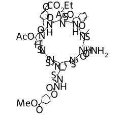 CCOC(=O)Oc1ccc(C[C@@H]2NC(=O)c3csc(n3)[C@H]([C@H](OC(C)=O)c3ccccc3)NC(=O)c3nc(sc3C)[C@H](CC(N)=O)NC(=O)c3csc(n3)-c3ccc(-c4nc(NC(=O)O[C@H]5CC[C@H](C(=O)OC)CC5)cs4)nc3-c3csc(n3)-c3csc(n3)[C@@H]3[C@@H](C)[C@@H](OC(C)=O)CN3C2=O)cc1